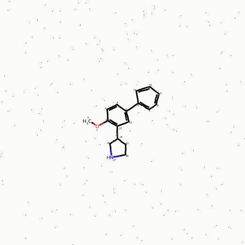 COc1ccc(-c2ccccc2)cc1C1CCNC1